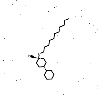 CCCCCCCCCCCO[C@]1(C#N)CC[C@@H](C2CCCCC2)CC1